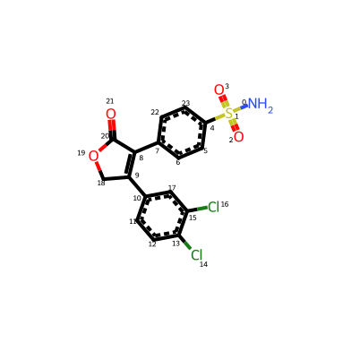 NS(=O)(=O)c1ccc(C2=C(c3ccc(Cl)c(Cl)c3)COC2=O)cc1